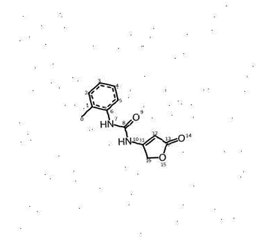 Cc1ccccc1NC(=O)NC1=CC(=O)OC1